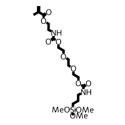 C=C(C)C(=O)OCCNC(=O)OCCOCCOCCOC(=O)NCCC[Si](OC)(OC)OC